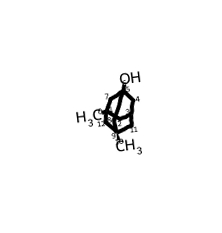 CC12CC3CC(O)(C1)C[C@](C)(C3)C2